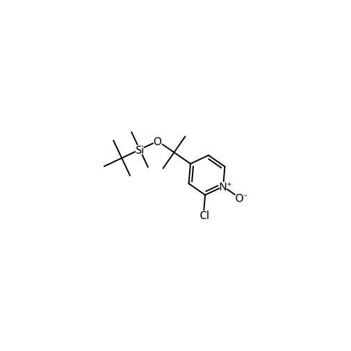 CC(C)(O[Si](C)(C)C(C)(C)C)c1cc[n+]([O-])c(Cl)c1